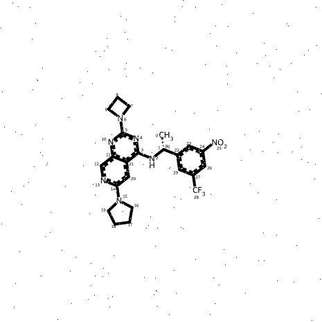 C[C@@H](Nc1nc(N2CCC2)nc2cnc(N3CCCC3)cc12)c1cc([N+](=O)[O-])cc(C(F)(F)F)c1